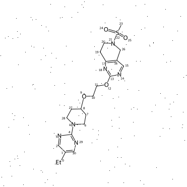 CCc1cnc(N2CCC(OCCOc3ncc4c(n3)CCN(S(C)(=O)=O)C4)CC2)nc1